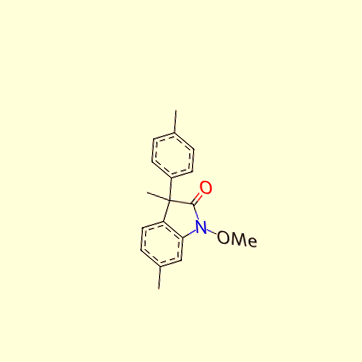 CON1C(=O)C(C)(c2ccc(C)cc2)c2ccc(C)cc21